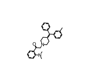 Cc1cccc(C(=C2CCN(CC(=O)c3ccccc3N(C)C)CC2)c2ccccc2)c1